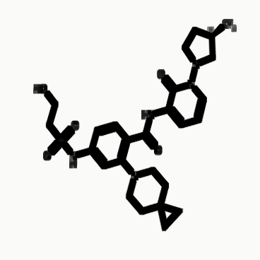 O=C(Nc1cccn(N2CC[C@@H](C(F)(F)F)C2)c1=O)c1ccc(NS(=O)(=O)CCO)cc1N1CCC2(CC1)CC2